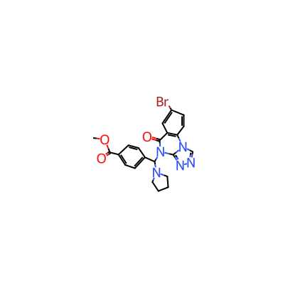 COC(=O)c1ccc(C(N2CCCC2)n2c(=O)c3cc(Br)ccc3n3cnnc23)cc1